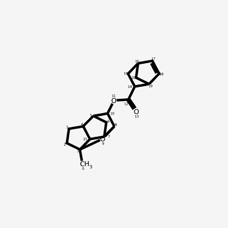 CC12CCC3C4CC(C(O1)C4OC(=O)C1CC4C=CC1C4)C32